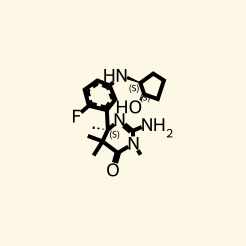 CN1C(=O)C(C)(C)[C@@](C)(c2cc(N[C@H]3CCC[C@@H]3O)ccc2F)N=C1N